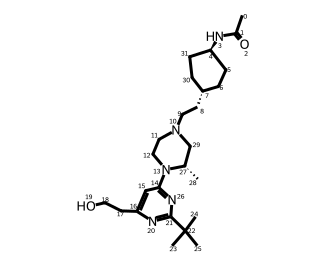 CC(=O)N[C@H]1CC[C@H](CCN2CCN(c3cc(CCO)nc(C(C)(C)C)n3)[C@@H](C)C2)CC1